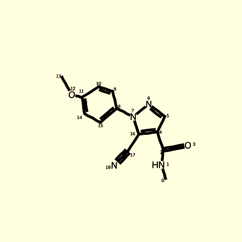 CNC(=O)c1cnn(-c2ccc(OC)cc2)c1C#N